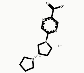 O=C([O-])c1cnc(N2CC[C@H](N3CCCC3)C2)cn1.[Li+]